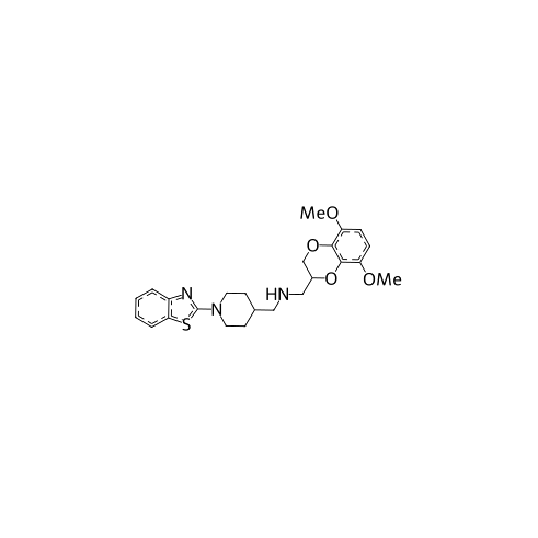 COc1ccc(OC)c2c1OCC(CNCC1CCN(c3nc4ccccc4s3)CC1)O2